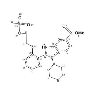 COC(=O)c1ccc2c(C3CCCCC3)c(-c3ccccc3SCCOS(C)(=O)=O)[nH]c2c1